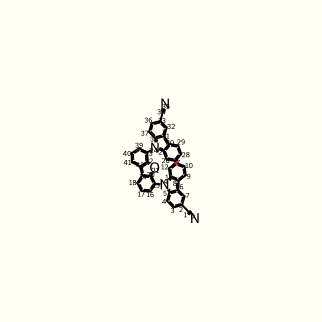 N#Cc1ccc2c(c1)c1ccccc1n2-c1cccc2c1oc1c(-n3c4ccccc4c4cc(C#N)ccc43)cccc12